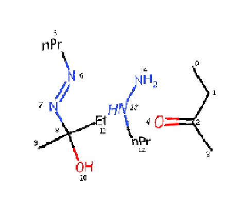 CCC(C)=O.CCC/N=N/C(C)(O)CC.CCCNN